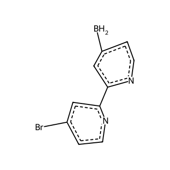 Bc1ccnc(-c2cc(Br)ccn2)c1